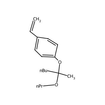 C=Cc1ccc(OC(C)(CCCC)OCCC)cc1